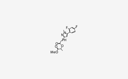 COC(=O)C(C)OC(=O)CPc1cc(-c2ccc(F)cc2F)n(C)n1